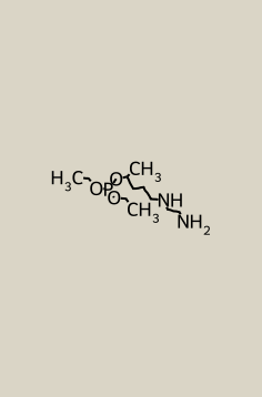 CCOP(OCC)OC(C)CCCNCCN